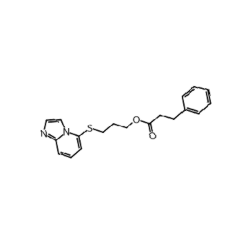 O=C(CCc1ccccc1)OCCCSc1cccc2nccn12